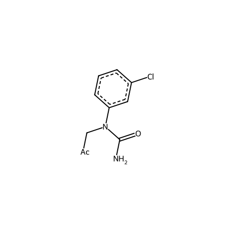 CC(=O)CN(C(N)=O)c1cccc(Cl)c1